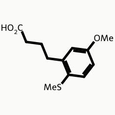 COc1ccc(SC)c(CCCC(=O)O)c1